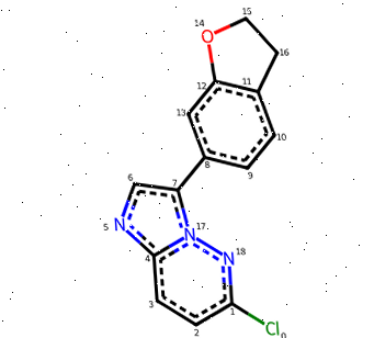 Clc1ccc2ncc(-c3ccc4c(c3)OCC4)n2n1